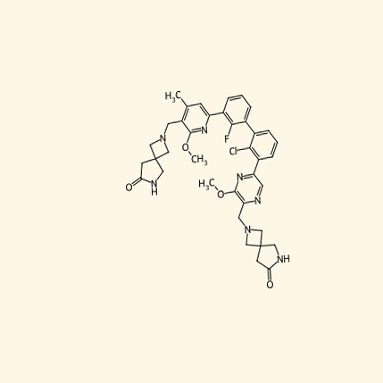 COc1nc(-c2cccc(-c3cccc(-c4cc(C)c(CN5CC6(CNC(=O)C6)C5)c(OC)n4)c3F)c2Cl)cnc1CN1CC2(CNC(=O)C2)C1